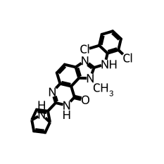 Cn1c(Nc2c(Cl)cccc2Cl)nc2ccc3nc(C4=CC5C=CC4N5)[nH]c(=O)c3c21